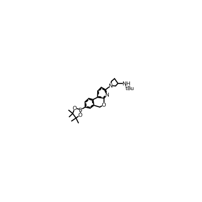 CC(C)(C)NC1CCN(c2ccc3c(n2)OCc2cc(B4OC(C)(C)C(C)(C)O4)ccc2-3)C1